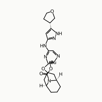 CC(C)(C)OC(=O)N1[C@@H]2CCC[C@H]1CC(Oc1cncc(Nc3cc([C@@H]4CCOC4)[nH]n3)n1)C2